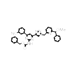 COC(c1ccccc1)c1cccc(Cn2cc(-c3cc(-c4cccc(C#N)c4)nc(NC(=O)OCc4ccccc4)n3)nn2)n1